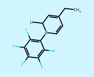 [Li][CH]1C=C(CC)C=CB1c1c(F)c(F)c(F)c(F)c1F